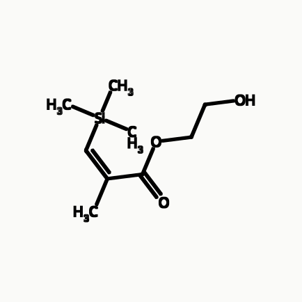 CC(=C[Si](C)(C)C)C(=O)OCCO